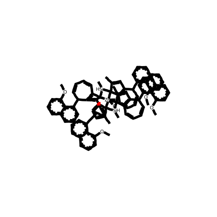 COc1cccc2cccc(C3C=CC=CC4=C3C=C(C)[C]43[SiH](C)[C]4(C(C)=CC5=C4C=CC=CC5c4cccc5cccc(OC)c45)[Zr]34([Cl])([Cl])[C]3(C(C)=CC5=C3C=CC=CC5c3cccc5cccc(OC)c35)[SiH](C)[C]43C(C)=CC4=C3C=CC=CC4c3cccc4cccc(OC)c34)c12